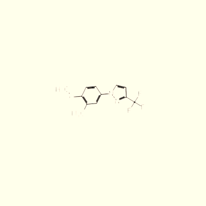 COc1ccc(-n2ccc(C(F)(F)F)n2)cc1C